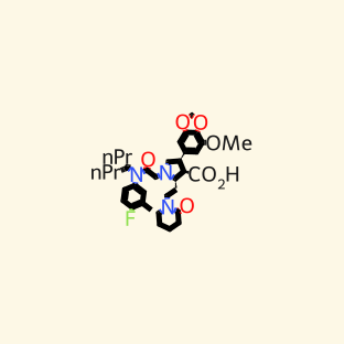 CCCC(CCC)N(C(=O)CN1C[C@H](c2cc(OC)c3c(c2)OCO3)[C@@H](C(=O)O)[C@@H]1CCN1CCCCC1=O)c1ccc(F)c(C)c1